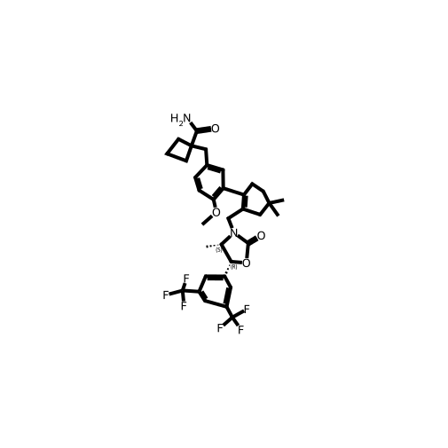 COc1ccc(CC2(C(N)=O)CCC2)cc1C1=C(CN2C(=O)O[C@H](c3cc(C(F)(F)F)cc(C(F)(F)F)c3)[C@@H]2C)CC(C)(C)CC1